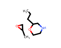 CC1CO1.CCCC1CNCCO1